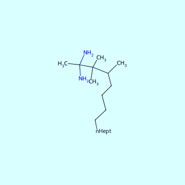 CCCCCCCCCCCC(C)C(C)(C)C(C)(N)N